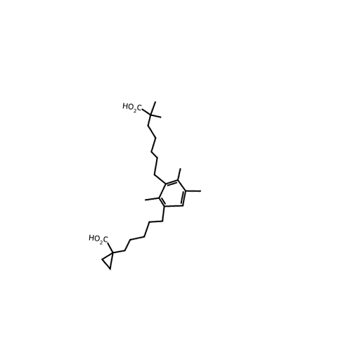 Cc1cc(CCCCCC2(C(=O)O)CC2)c(C)c(CCCCCC(C)(C)C(=O)O)c1C